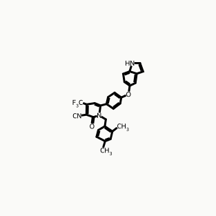 [C-]#[N+]c1c(C(F)(F)F)cc(-c2ccc(Oc3ccc4[nH]ccc4c3)cc2)n(Cc2ccc(C)cc2C)c1=O